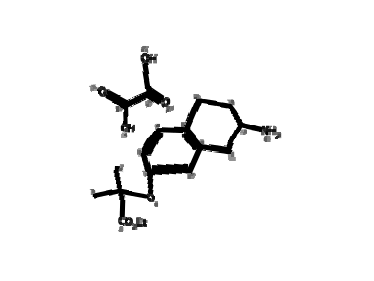 CCOC(=O)C(C)(C)Oc1ccc2c(c1)CC(N)CC2.O=C(O)C(=O)O